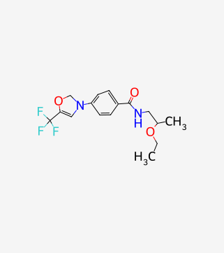 CCOC(C)CNC(=O)c1ccc(N2C=C(C(F)(F)F)OC2)cc1